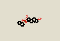 COc1cc2c(cc1OS(=O)(=O)c1cccc3ccccc13)CCC1C2CCC2C(O)CC[C@@]21C